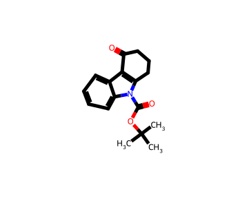 CC(C)(C)OC(=O)n1c2c(c3ccccc31)C(=O)CCC2